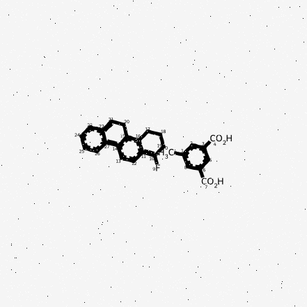 Cc1cc(C(=O)O)cc(C(=O)O)c1.FC1=c2ccc3c(c2CCC1)CC=c1ccccc1=3